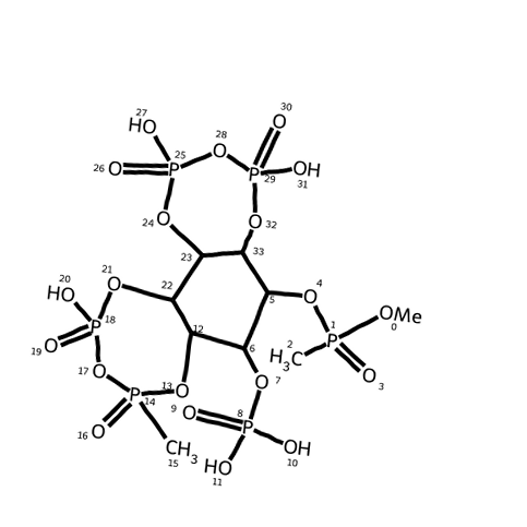 COP(C)(=O)OC1C(OP(=O)(O)O)C2OP(C)(=O)OP(=O)(O)OC2C2OP(=O)(O)OP(=O)(O)OC12